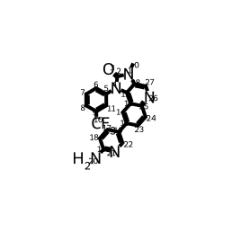 Cn1c(=O)n(-c2cccc(C(F)(F)F)c2)c2c3cc(-c4ccc(N)nc4)ccc3ncc21